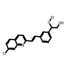 CCOC(CO)c1cccc(/C=C/c2ccc3ccc(Cl)cc3n2)c1